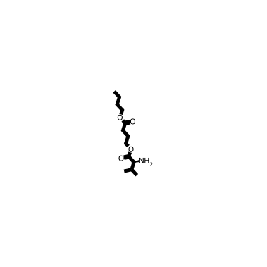 CCCCOC(=O)CCCOC(=O)[C@@H](N)C(C)C